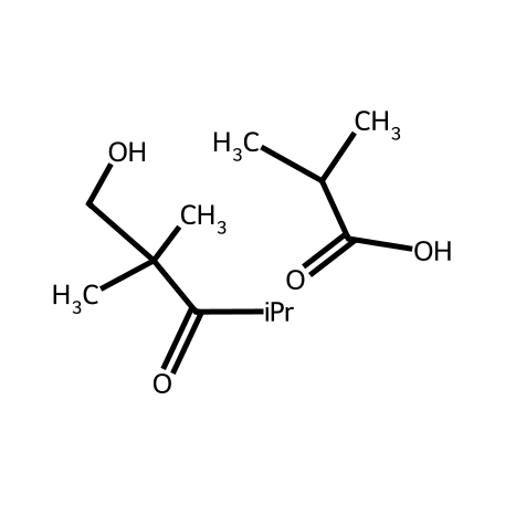 CC(C)C(=O)C(C)(C)CO.CC(C)C(=O)O